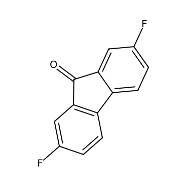 O=C1c2cc(F)ccc2-c2ccc(F)cc21